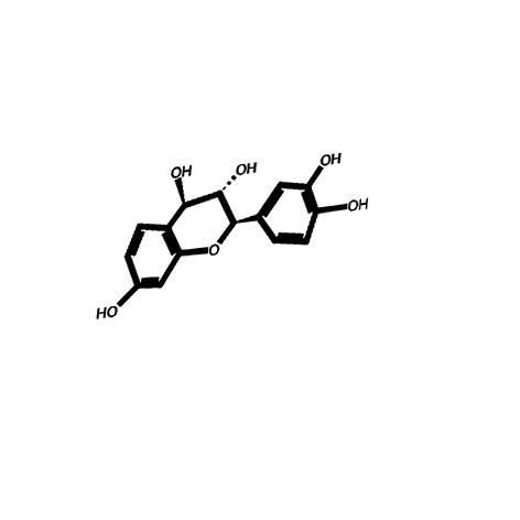 Oc1ccc2c(c1)O[C@H](c1ccc(O)c(O)c1)[C@@H](O)[C@@H]2O